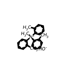 Cc1ccccc1[N+](C)(c1ccccc1C)c1ccccc1C.[OH-]